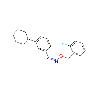 Fc1ccccc1CO/N=[C]\c1cccc(C2CCCCC2)c1